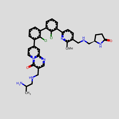 COc1nc(-c2cccc(-c3cccc(-c4ccn5c(=O)c(CNCC(C)N)cnc5c4)c3Cl)c2Cl)ccc1CNC[C@H]1CCC(=O)N1